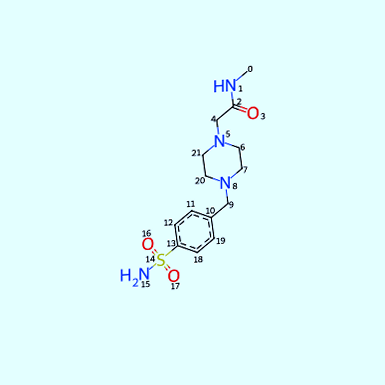 CNC(=O)CN1CCN(Cc2ccc(S(N)(=O)=O)cc2)CC1